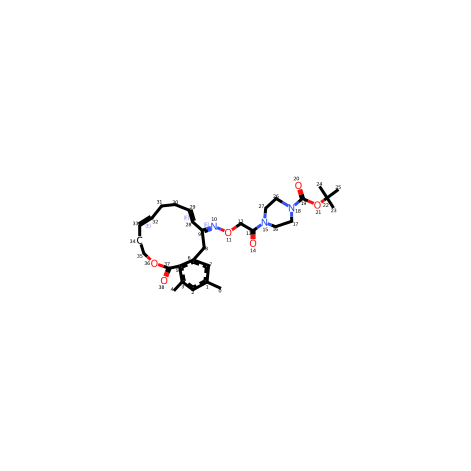 Cc1cc(C)c2c(c1)CC(=N\OCC(=O)N1CCN(C(=O)OC(C)(C)C)CC1)/C=C/CC/C=C/CCOC2=O